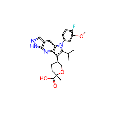 COc1cc(-n2c(C(C)C)c([C@@H]3CC[C@@](C)(C(=O)O)OC3)c3nc4[nH]ncc4cc32)ccc1F